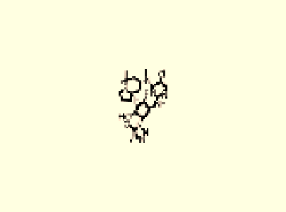 Cn1nnn(-c2cc(Nc3ncc(Cl)c(N[C@@H]4C[C@@H]5CCCN5C(C)(C)C4)n3)c(F)cc2O)c1=O